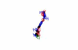 CC1(C)C(NC(=O)c2ccc(N3CCN(CCOCCNc4cnn(C5CCC(=O)NC5=O)c(=O)c4)CC3)cc2)C(C)(C)C1Oc1ccc(C#N)c(Cl)c1